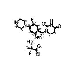 Cn1nc(N2CCC(=O)NC2=O)c2cc(F)c(N3CCNCC3)cc21.O=C(O)C(F)(F)F